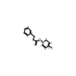 C=C(CCc1ccccc1)ON1C=CC(C)=CC1